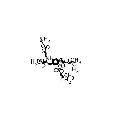 CCCOC(=O)OCCN[C@@H](Cc1ccc(OC(=O)OCC(C)C)c(OC(=O)OCC(C)C)c1)C(=O)OC